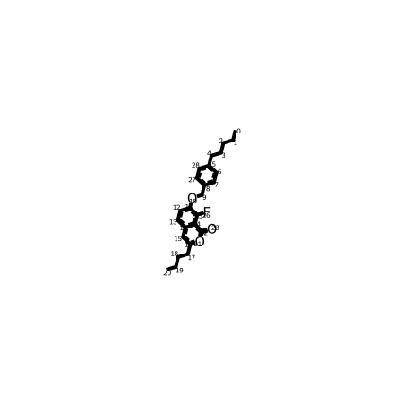 CCCCCc1ccc(COc2ccc3cc(CCCC)oc(=O)c3c2F)cc1